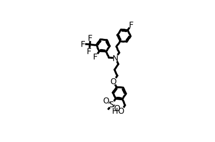 CS(=O)(=O)c1cc(OCCCN(CCc2ccc(F)cc2)Cc2cccc(C(F)(F)F)c2F)ccc1CO